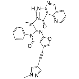 C[C@@H](NC(=O)c1c(N)ncc2cccnc12)c1nc2occ(C#Cc3cnn(C)c3)c2c(=O)n1-c1ccccc1